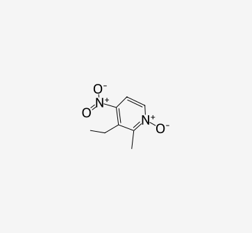 CCc1c([N+](=O)[O-])cc[n+]([O-])c1C